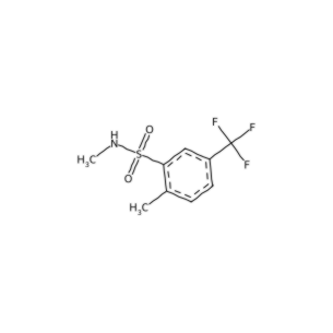 CNS(=O)(=O)c1cc(C(F)(F)F)ccc1C